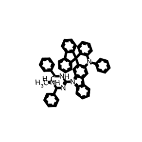 CNC(/N=C(\NC(C)c1ccccc1)n1c2ccccc2c2cc3c(cc21)C1(c2ccccc2-c2ccccc21)c1ccccc1N3c1ccccc1)c1ccccc1